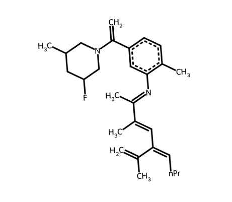 C=C(C)C(=C\CCC)/C=C(C)/C(C)=N/c1cc(C(=C)N2CC(C)CC(F)C2)ccc1C